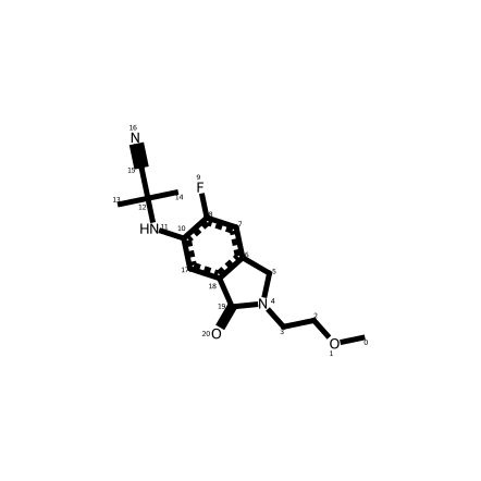 COCCN1Cc2cc(F)c(NC(C)(C)C#N)cc2C1=O